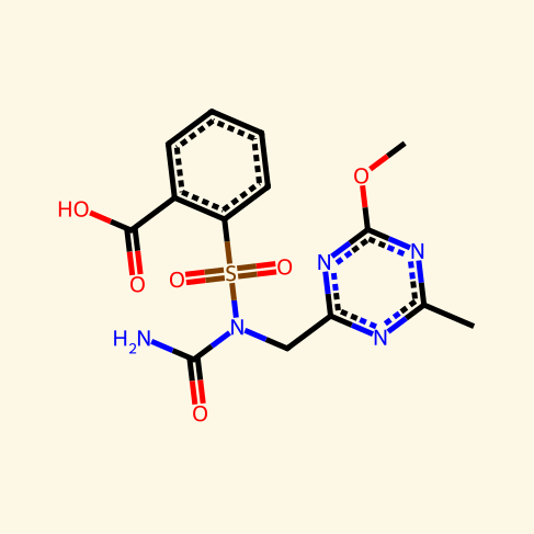 COc1nc(C)nc(CN(C(N)=O)S(=O)(=O)c2ccccc2C(=O)O)n1